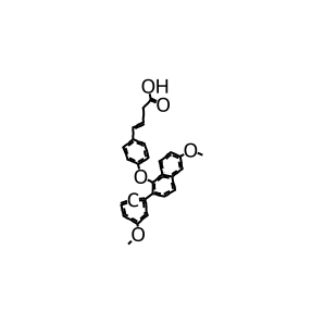 COc1cccc(-c2ccc3cc(OC)ccc3c2Oc2ccc(C=CCC(=O)O)cc2)c1